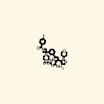 Nc1ncnn2c(-c3cccc(C4(N5CCS(=O)(=O)CC5)CN(C(=O)c5ccc(F)cc5)C4)c3)cc(-c3ccnn3C3CCOCC3)c12